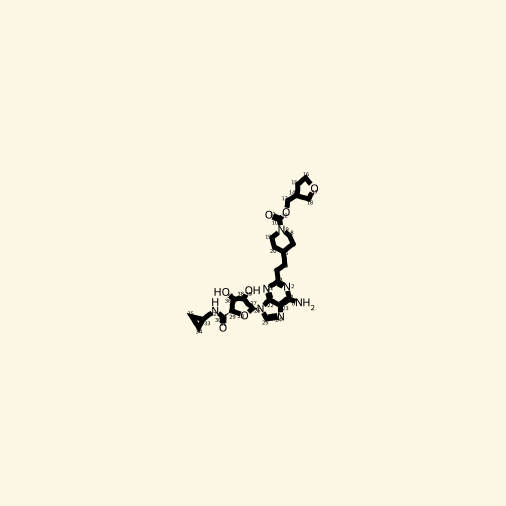 Nc1nc(CCC2CCN(C(=O)OCC3CCOC3)CC2)nc2c1ncn2[C@@H]1O[C@H](C(=O)NC2CC2)C(O)C1O